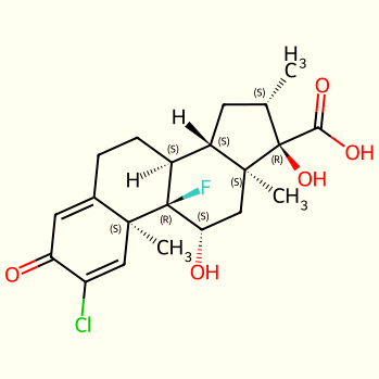 C[C@H]1C[C@H]2[C@@H]3CCC4=CC(=O)C(Cl)=C[C@]4(C)[C@@]3(F)[C@@H](O)C[C@]2(C)[C@@]1(O)C(=O)O